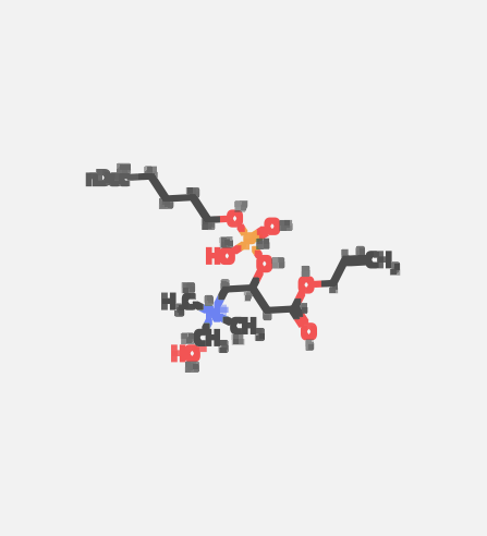 C=CCOC(=O)CC(C[N+](C)(C)C)OP(=O)(O)OCCCCCCCCCCCCCC.[OH-]